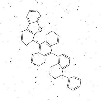 C1=Cc2c(c(-c3cccc4c3C=CCC4c3ccccc3)c3c(c2C2CC=Cc4c2oc2ccccc42)CCC=C3)CC1